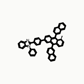 C[C@H]1C=CC=C2C(c3ccc4ccccc4c3)=c3cc(-c4ccc(-c5nc6ccccc6n5-c5ccccc5)cc4)ccc3=C(c3ccc4ccccc4c3)C21